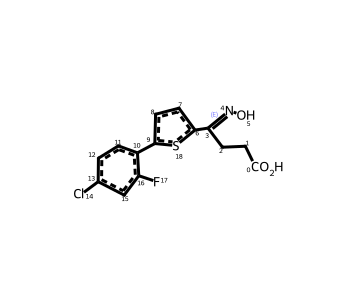 O=C(O)CC/C(=N\O)c1ccc(-c2ccc(Cl)cc2F)s1